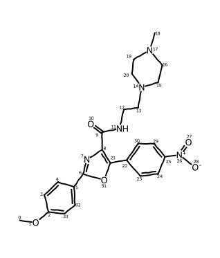 COc1ccc(-c2nc(C(=O)NCCN3CCN(C)CC3)c(-c3ccc([N+](=O)[O-])cc3)o2)cc1